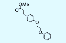 COC(=O)CCc1ccc(OCCOc2ccccc2)cc1